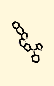 O=Cc1cc2ccccc2cc1C(=O)/C=C\c1ccc(N(c2ccccc2)c2ccco2)cc1